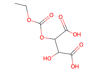 CCOC(=O)OC(C(=O)O)C(O)C(=O)O